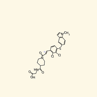 Cn1ccc2cc(Sc3ccc(/C=C/C(=O)N4CCC(C(=O)NCC(=O)O)CC4)c(Cl)c3Cl)ccc21